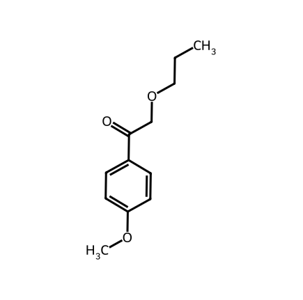 CCCOCC(=O)c1ccc(OC)cc1